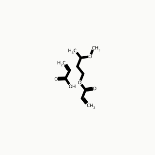 C=CC(=O)O.C=CC(=O)OCCC(C)OC